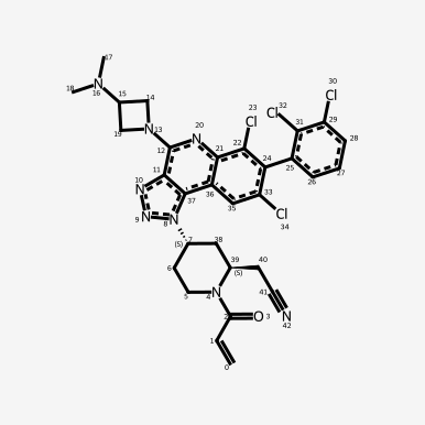 C=CC(=O)N1CC[C@H](n2nnc3c(N4CC(N(C)C)C4)nc4c(Cl)c(-c5cccc(Cl)c5Cl)c(Cl)cc4c32)C[C@H]1CC#N